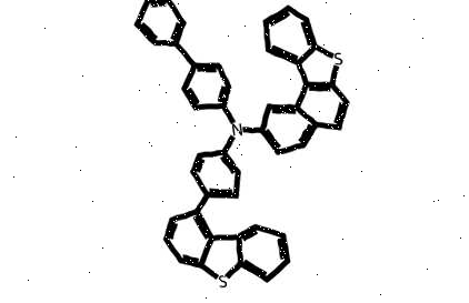 c1ccc(-c2ccc(N(c3ccc(-c4cccc5sc6ccccc6c45)cc3)c3ccc4ccc5sc6ccccc6c5c4c3)cc2)cc1